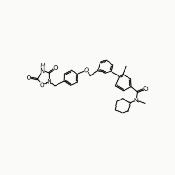 Cc1cc(C(=O)N(C)C2CCCCC2)ccc1-c1cccc(COc2ccc(Cn3oc(=O)[nH]c3=O)cc2)c1